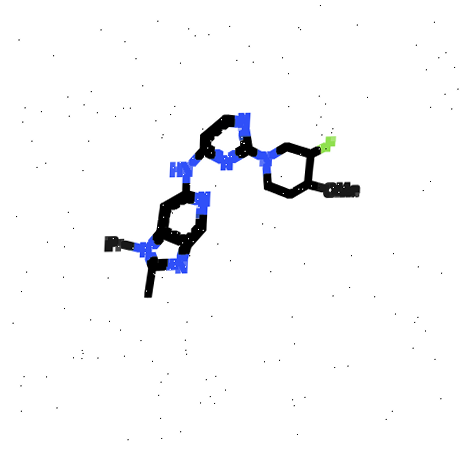 COC1CCN(c2nccc(Nc3cc4c(cn3)nc(C)n4C(C)C)n2)CC1F